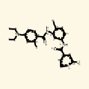 CCN(CC)c1ccc(C(=O)Nc2cc(NC(=O)c3ccnc(Cl)c3)ccc2C)c(C)c1